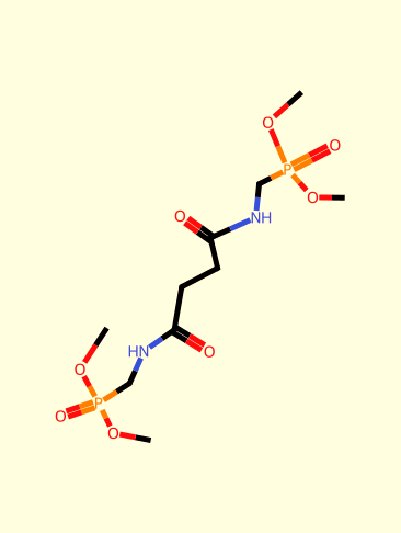 COP(=O)(CNC(=O)CCC(=O)NCP(=O)(OC)OC)OC